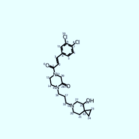 O=C(C=Cc1ccc(Cl)c(Cl)c1)N1CCN(CCCN2CCC3(CC3)C(O)C2)C(=O)C1